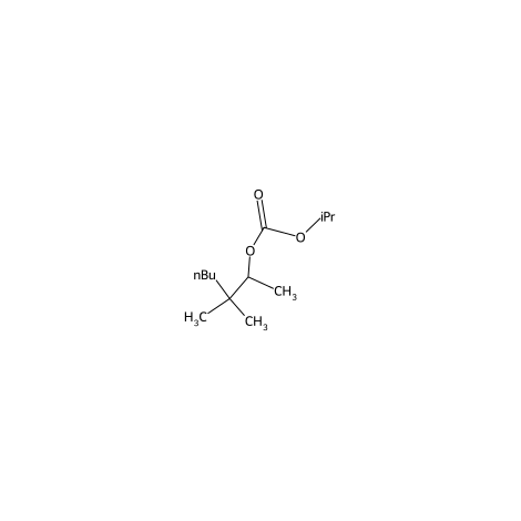 CCCCC(C)(C)C(C)OC(=O)OC(C)C